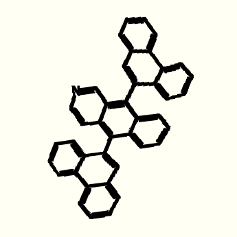 c1ccc2c(c1)cc(-c1c3ccccc3c(-c3cc4ccccc4c4ccccc34)c3cnccc13)c1ccccc12